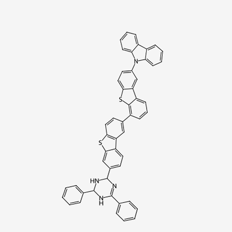 c1ccc(C2=NC(c3ccc4c(c3)sc3ccc(-c5cccc6c5sc5ccc(-n7c8ccccc8c8ccccc87)cc56)cc34)NC(c3ccccc3)N2)cc1